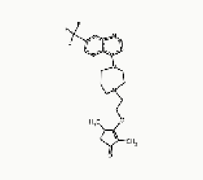 CC1=C(OCCN2CCCN(c3ccnc4cc(C(F)(F)F)ccc34)CC2)C(C)SC1=O